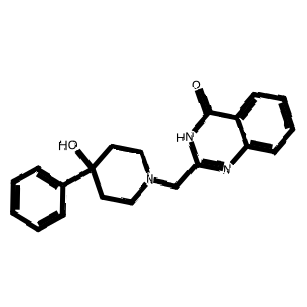 O=c1[nH]c(CN2CCC(O)(c3ccccc3)CC2)nc2ccccc12